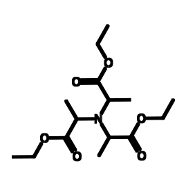 CCOC(=O)C(C)N(C(C)C(=O)OCC)C(C)C(=O)OCC